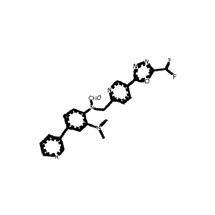 CN(C)c1cc(-c2cccnc2)ccc1N(C=O)Cc1ccc(-c2nnc(C(F)F)o2)cn1